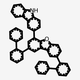 c1ccc(-c2ccccc2-c2ccc3oc4c(-c5ccc6[nH]c7ccccc7c6c5)cc(-c5ccccc5-c5ccccc5)cc4c3c2)cc1